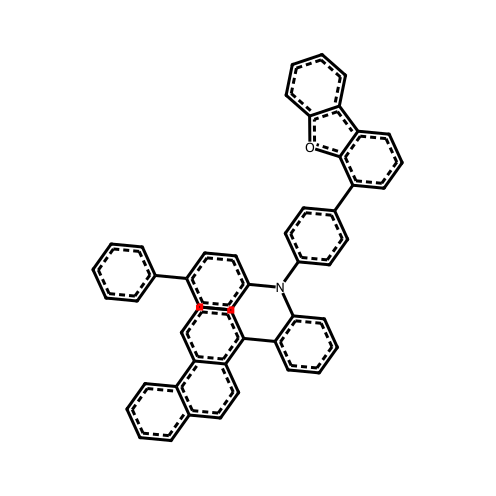 c1ccc(-c2ccc(N(c3ccc(-c4cccc5c4oc4ccccc45)cc3)c3ccccc3-c3cccc4c3ccc3ccccc34)cc2)cc1